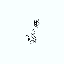 Cc1ccc(OCC2CCN(C(CN=O)c3scnc3C(F)F)CC2)nn1